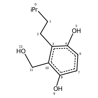 CC(C)CCc1c(O)ccc(O)c1CO